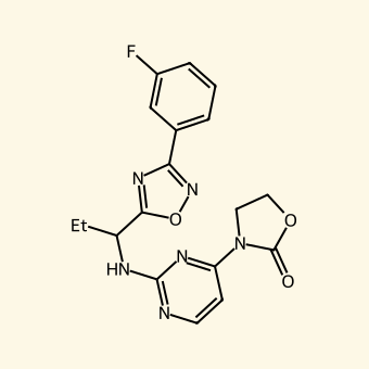 CCC(Nc1nccc(N2CCOC2=O)n1)c1nc(-c2cccc(F)c2)no1